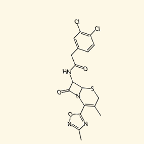 CC1=C(c2nc(C)no2)N2C(=O)C(NC(=O)Cc3ccc(Cl)c(Cl)c3)C2SC1